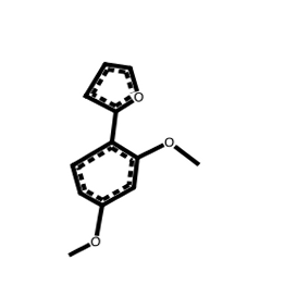 COc1ccc(-c2ccco2)c(OC)c1